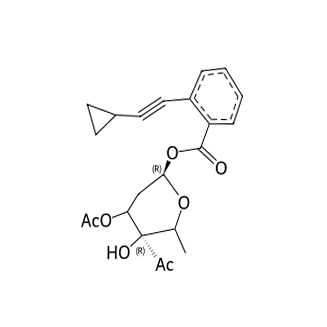 CC(=O)OC1C[C@@H](OC(=O)c2ccccc2C#CC2CC2)OC(C)[C@]1(O)C(C)=O